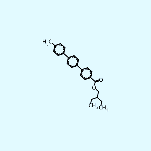 CCC(CC)COC(=O)c1ccc(-c2ccc(-c3ccc(C)cc3)cc2)cc1